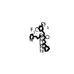 O=C(C=Cc1cccnc1)NC(Cc1c[nH]c2ccccc12)C(=O)CCc1cc(C(F)(F)F)cc(C(F)(F)F)c1